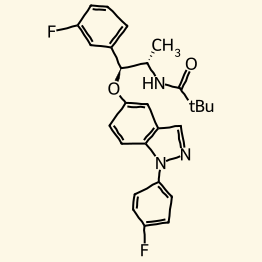 C[C@H](NC(=O)C(C)(C)C)[C@@H](Oc1ccc2c(cnn2-c2ccc(F)cc2)c1)c1cccc(F)c1